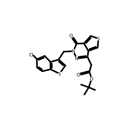 CC(C)(C)OC(=O)Cc1nn(Cc2csc3ccc(Cl)cc23)c(=O)c2cscc12